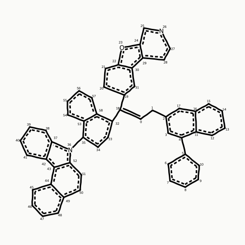 C(/Cc1cc(-c2ccccc2)c2ccccc2c1)=C(/c1ccc2oc3cnccc3c2c1)c1ccc(-n2c3ccccc3c3c4ccccc4ccc32)c2ccccc12